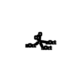 CCCCCCCCP1(CCCCCCCC)(CCCCCCCC)OO1